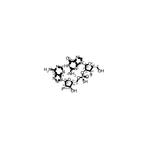 Nc1nc2c(ncn2[C@@H]2O[C@H](CO)[C@H](F)[C@H]2OP(=O)(S)OC[C@H]2O[C@@H](n3nnc4c(N)ncnc43)[C@@H](F)[C@@H]2O)c(=O)[nH]1